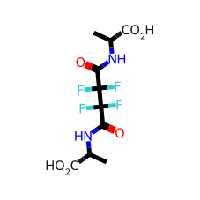 CC(NC(=O)C(F)(F)C(F)(F)C(=O)NC(C)C(=O)O)C(=O)O